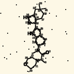 CC(C(=O)N(C)c1ccc2cc(-c3n[nH]c4c3CCC(C)(C)C4)[nH]c2c1)N1CCOCC1